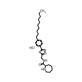 CCCCCCCCCCc1ccc(-c2noc(CNC(=O)C3CCCCCN3)n2)cc1.Cl